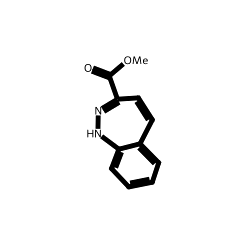 COC(=O)C1=NNc2ccccc2C=C1